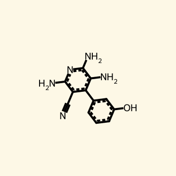 N#Cc1c(N)nc(N)c(N)c1-c1cccc(O)c1